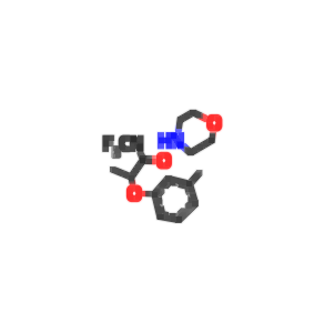 C1COCCN1.Cc1cccc(OC(C)C(=O)NC(F)(F)F)c1